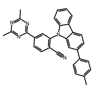 Cc1ccc(-c2ccc3c4ccccc4n(-c4cc(-c5nc(C)nc(C)n5)ccc4C#N)c3c2)cc1